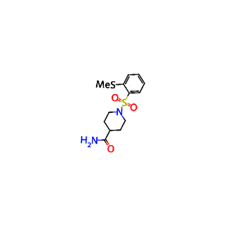 CSc1ccccc1S(=O)(=O)N1CCC(C(N)=O)CC1